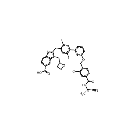 C[C@@H](C#N)NC(=O)c1cc(Cl)c(COc2cccc(-c3cc(F)c(Cc4nc5ccc(C(=O)O)cc5n4CC4CCO4)cc3F)n2)cn1